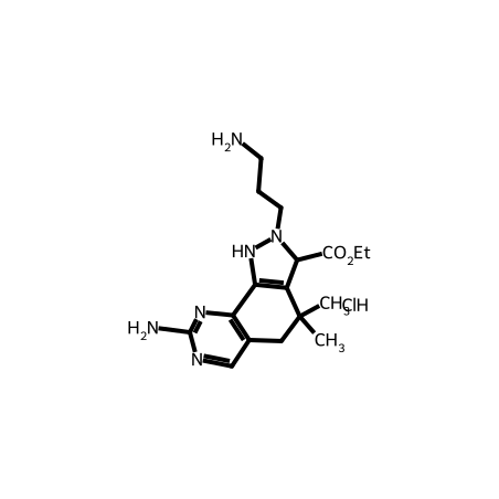 CCOC(=O)C1C2=C(NN1CCCN)c1nc(N)ncc1CC2(C)C.Cl